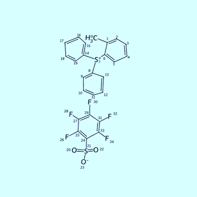 Cc1ccccc1[S+](c1ccccc1)c1ccccc1.O=S(=O)([O-])c1c(F)c(F)c(F)c(F)c1F